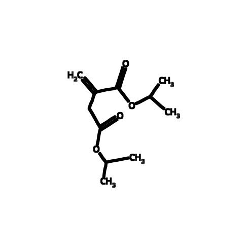 C=C(CC(=O)OC(C)C)C(=O)OC(C)C